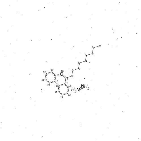 CCCCCCCCCC(=O)c1ccccc1-c1ccccc1.NN